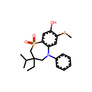 CCC1(C(C)C)CN(c2ccccc2)c2cc(SC)c(O)cc2S(=O)(=O)C1